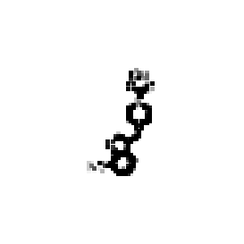 CC(C)(C)OC(=O)N1CCN(CC2COc3c(C#N)cccc32)CC1